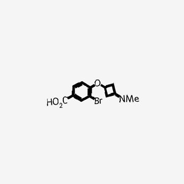 CNC1CC(Oc2ccc(C(=O)O)cc2Br)C1